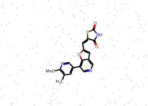 COc1ncc(-c2cncc3cc(C=C4SC(=O)NC4=O)oc23)cc1C